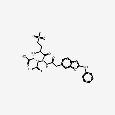 CS(=O)(=O)CCC(N)C(=O)N(NC(=O)Cc1ccc2nc(Nc3ccccc3)oc2c1)[C@@H](CC(=O)O)C(=O)O